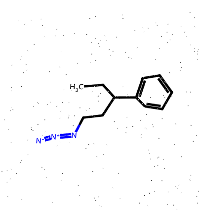 CCC(CCN=[N+]=[N-])c1ccccc1